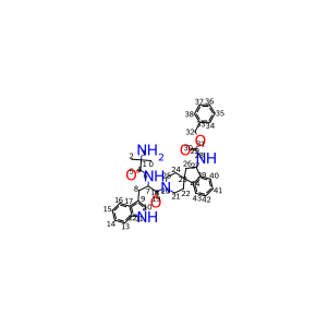 CC(C)(N)C(=O)NC(Cc1c[nH]c2ccccc12)C(=O)N1CCC2(CC1)C[C@@H](NC(=O)OCc1ccccc1)c1ccccc12